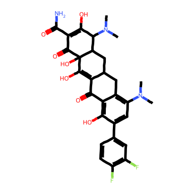 CN(C)c1cc(-c2ccc(F)c(F)c2)c(O)c2c1CC1CC3C(N(C)C)C(O)=C(C(N)=O)C(=O)C3(O)C(O)=C1C2=O